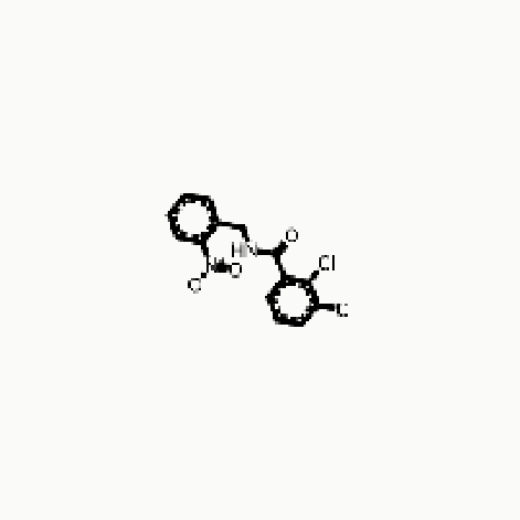 O=C(NCc1ccccc1[N+](=O)[O-])c1cccc(Cl)c1Cl